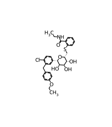 CCNC(=O)c1ccccc1SC[C@H]1O[C@@H](c2ccc(Cl)c(Cc3ccc(OCC)cc3)c2)[C@H](O)[C@H](O)[C@H]1O